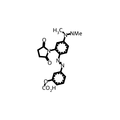 CNN(C)c1ccc(N=Nc2cccc(OC(=O)O)c2)c(N2C(=O)CCC2=O)c1